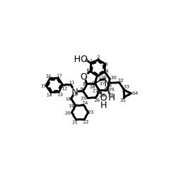 Oc1ccc2c3c1OC1C(N(Cc4ccccc4)CC4CCCCC4)CC[C@@]4(O)[C@@H](C2)N(CC2CC2)CC[C@]314